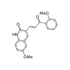 COc1ccc2[nH]c(=O)c(C=CC(=O)c3ccccc3OC)cc2c1